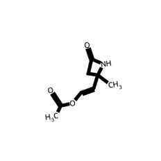 CC(=O)OC=CC1(C)CC(=O)N1